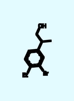 CCc1ccc([C](C)CO)cc1Br